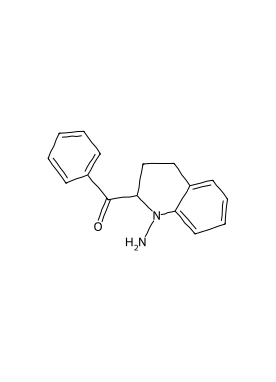 NN1c2ccccc2CCC1C(=O)c1ccccc1